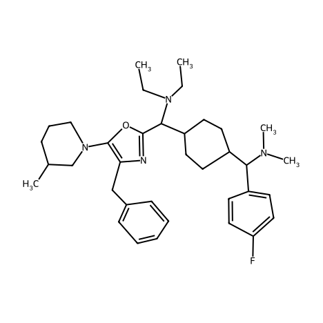 CCN(CC)C(c1nc(Cc2ccccc2)c(N2CCCC(C)C2)o1)C1CCC(C(c2ccc(F)cc2)N(C)C)CC1